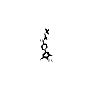 CC(C)(C)OC(=O)NC1CCN(c2cc(F)c(N)c(F)c2)CC1